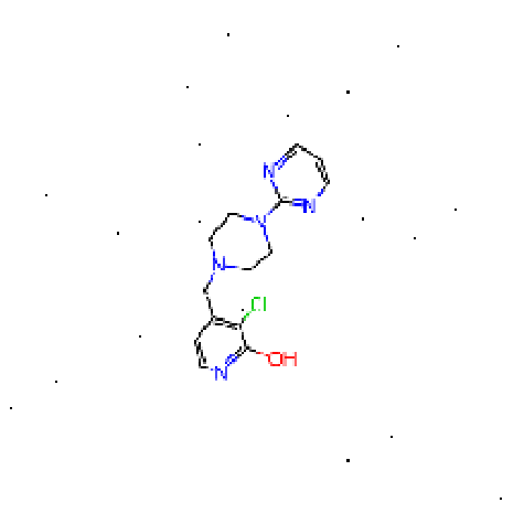 Oc1nccc(CN2CCN(c3ncccn3)CC2)c1Cl